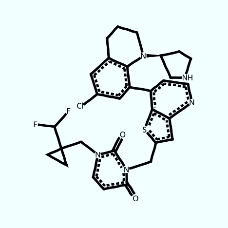 O=c1ccn(CC2(C(F)F)CC2)c(=O)n1Cc1cc2nccc(-c3cc(Cl)cc4c3N([C@H]3CCNC3)CCC4)c2s1